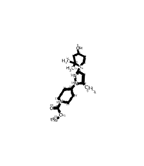 Cc1cc(N2CCC(O)CC2(C)C)nn1C1CCN(C(=O)OC(C)(C)C)CC1